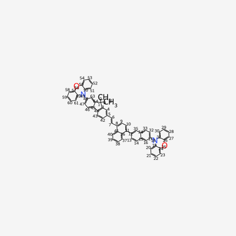 CC1(C)c2cc(/C=C/c3ccc(-c4ccc5cc(N6c7ccccc7Oc7ccccc76)ccc5c4)c4ccccc34)ccc2-c2ccc(N3c4ccccc4Oc4ccccc43)cc21